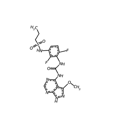 CCCS(=O)(=O)Nc1ccc(F)c(NC(=O)Nc2ncnc3[nH]nc(OC)c23)c1F